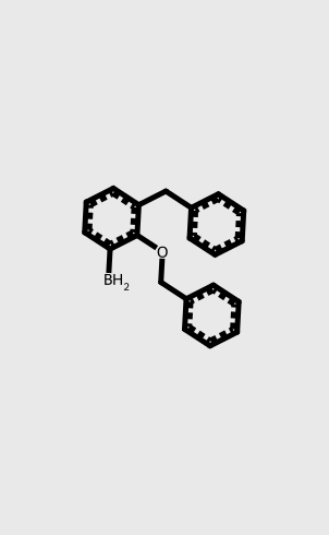 Bc1cccc(Cc2ccccc2)c1OCc1ccccc1